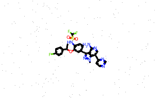 CC(Oc1cc(-c2nn(C)c3c(-c4ccncn4)cnc(N)c23)ccc1NS(=O)(=O)C(F)F)c1ccc(F)cc1